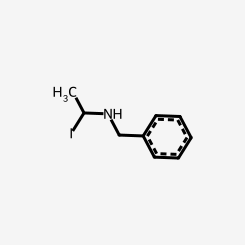 CC(I)NCc1ccccc1